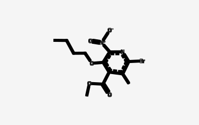 CCCCOc1c([N+](=O)[O-])nc(Br)c(C)c1C(=O)OC